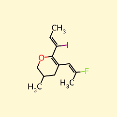 C/C=C(\I)C1=C(/C=C(\C)F)CC(C)CO1